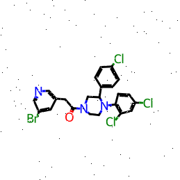 O=C(Cc1cncc(Br)c1)N1CCN(c2ccc(Cl)cc2Cl)C(c2ccc(Cl)cc2)C1